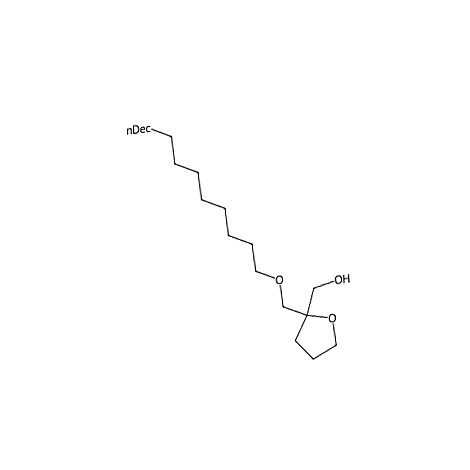 CCCCCCCCCCCCCCCCCCOCC1(CO)CCCO1